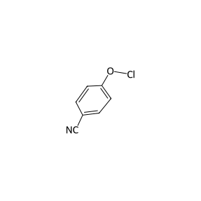 N#Cc1ccc(OCl)cc1